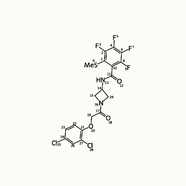 CSc1c(F)c(F)c(F)c(F)c1C(=O)NC1CN(C(=O)COc2ccc(Cl)cc2Cl)C1